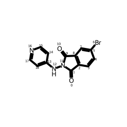 O=C1c2ccc(Br)cc2C(=O)N1Nc1ccncc1